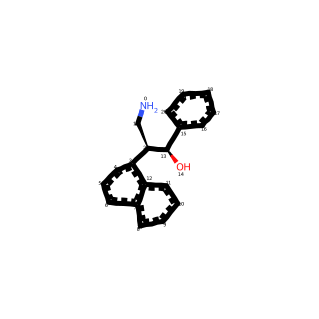 NC[C@H](c1cccc2ccccc12)[C@H](O)c1ccccc1